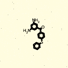 Nc1cc(N)cc(C(=O)c2ccc(Sc3ccccc3)cc2)c1